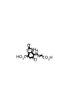 O=C(O)C=NNc1c(Cl)cc(C(=O)O)c2sc(=O)[nH]c12